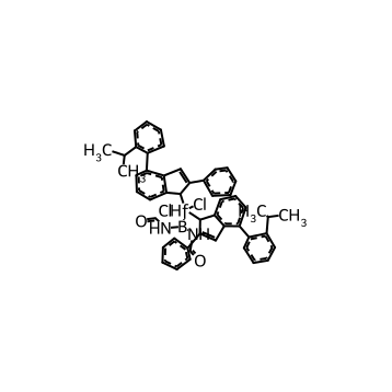 CC(C)c1ccccc1-c1cccc2c1C=C(c1ccccc1)[CH]2[Hf]([Cl])([Cl])([B](NC=O)NC=O)[CH]1C(c2ccccc2)=Cc2c(-c3ccccc3C(C)C)cccc21